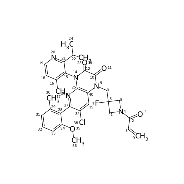 C=CC(=O)N1CC(F)(Cn2c(=O)c(=O)n(-c3c(C)ccnc3C(C)C)c3nc(-c4c(C)cccc4OC)c(Cl)cc32)C1